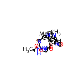 CCn1c(-c2cc(C3=CCN4CCOC[C@@H]4C3)cnc2[C@H](C)OC)c2c3cc(ccc31)-c1csc(n1)C[C@H](NC(=O)[C@H]1C[C@@H]1C)C(=O)N1CCC[C@H](N1)C(=O)OCC(C)(C)C2